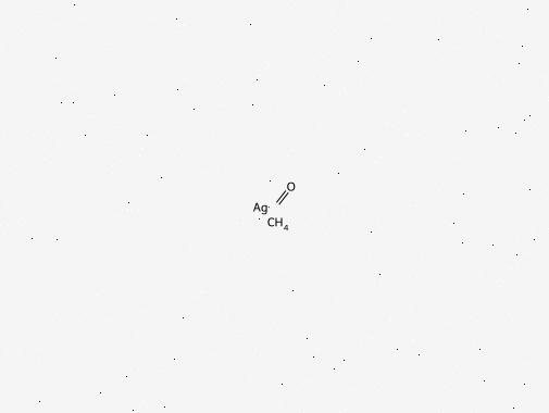 C.C=O.[Ag]